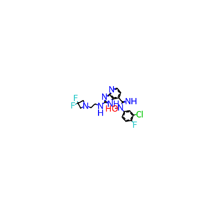 N=C(c1ccnc2nc(NCCN3CC(F)(F)C3)[nH]c12)N(O)c1ccc(F)c(Cl)c1